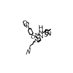 Cc1cc(Nc2nc(O[C@H]3CC[C@H](N4CCOCC4)CC3)c3c(ccn3CCCC#N)n2)sn1